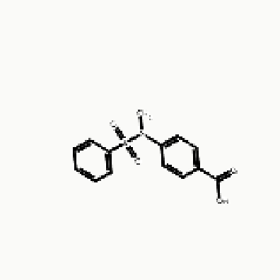 CN(c1ccc(C(=O)O)cc1)S(=O)(=O)c1[c]cccc1